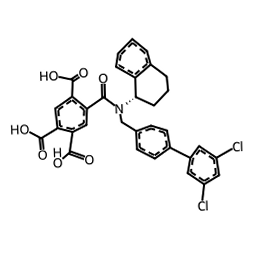 O=C(O)c1cc(C(=O)O)c(C(=O)N(Cc2ccc(-c3cc(Cl)cc(Cl)c3)cc2)[C@H]2CCCc3ccccc32)cc1C(=O)O